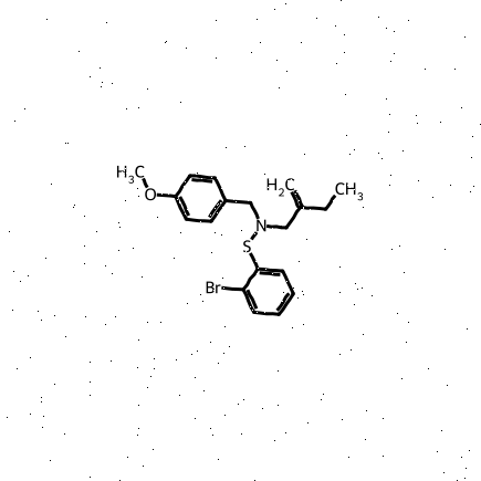 C=C(CC)CN(Cc1ccc(OC)cc1)Sc1ccccc1Br